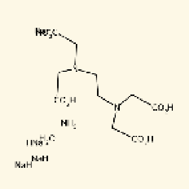 N.O.O=C(O)CN(CCN(CC(=O)O)CC(=O)O)CC(=O)O.[NaH].[NaH].[NaH].[NaH]